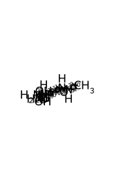 CC1CCC(NCC(=O)Nc2ccc(-c3ccc(C(=O)N[C@H](C(=O)NO)[C@@H](N)O)cc3)cc2)CC1